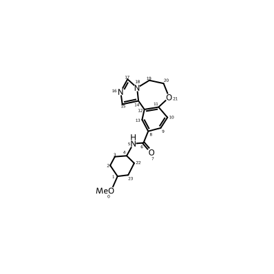 COC1CCC(NC(=O)c2ccc3c(c2)-c2cncn2CCO3)CC1